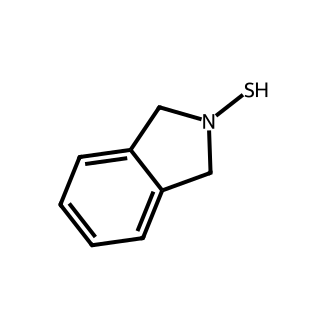 SN1Cc2ccccc2C1